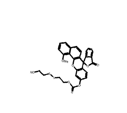 COc1cccc2ccc3c(c12)Oc1cc(OC(=O)OCCSSCCO)ccc1C31OC(=O)c2ccccc21